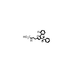 O=C(O)NCCc1cc(S(=O)(=O)c2ccccc2)c(-c2ccccc2F)o1